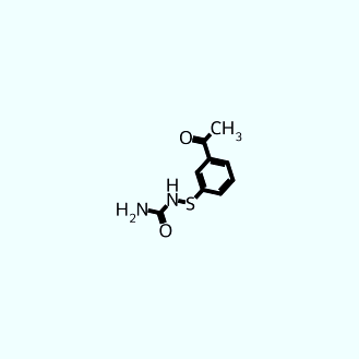 CC(=O)c1cccc(SNC(N)=O)c1